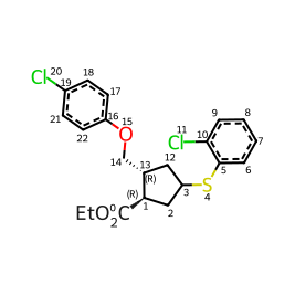 CCOC(=O)[C@@H]1CC(Sc2ccccc2Cl)C[C@H]1COc1ccc(Cl)cc1